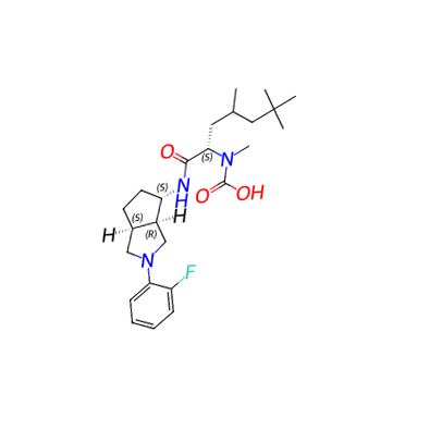 CC(C[C@@H](C(=O)N[C@H]1CC[C@@H]2CN(c3ccccc3F)C[C@@H]21)N(C)C(=O)O)CC(C)(C)C